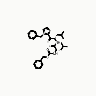 CC(C)C[C@H](NC(=O)OCc1ccccc1)C(=O)N[C@@H](CC(C)C)C(=O)c1nccn1Cc1ccccc1